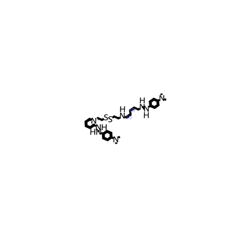 CN(C)c1ccc(NNC/C=C\C=C/NCCSSCC[n+]2ccccc2NNc2ccc(N(C)C)cc2)cc1